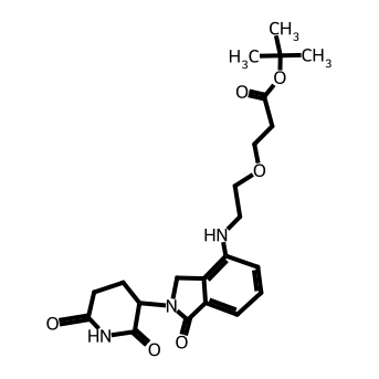 CC(C)(C)OC(=O)CCOCCNc1cccc2c1CN(C1CCC(=O)NC1=O)C2=O